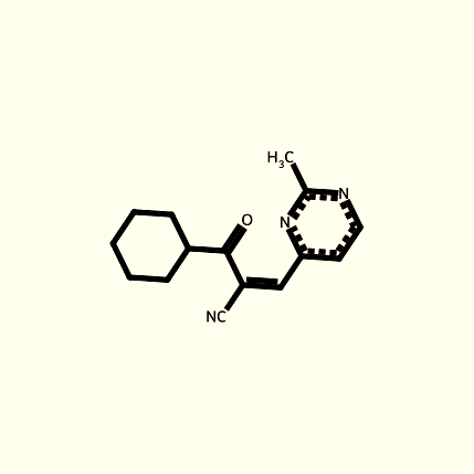 Cc1nccc(C=C(C#N)C(=O)C2CCCCC2)n1